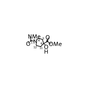 CNC(=O)N1CCC(O)(C(=O)OC)CC1